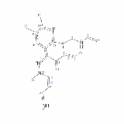 C=CNCC(/C(=C\C)C(=C)/C=N\N(C)/C=C\C=N)c1ccc(C)c(C)c1